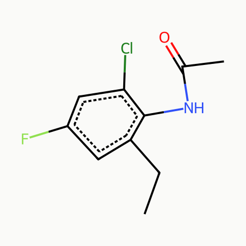 CCc1cc(F)cc(Cl)c1NC(C)=O